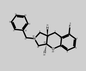 Fc1cccc2c1C[C@H]1CN(Cc3ccccc3)C[C@@H]1O2